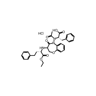 CCOC(=O)[C@H](CCc1ccccc1)NC1COc2ccccc2N(N(C(C)=O)[C@@H](Cc2ccccc2)C(=O)O)C1=O.Cl